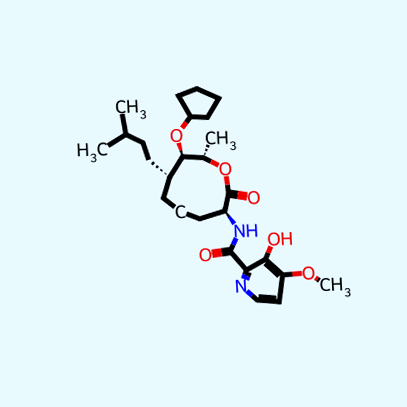 COc1ccnc(C(=O)N[C@H]2CCC[C@H](CCC(C)C)[C@@H](OC3CCCC3)[C@H](C)OC2=O)c1O